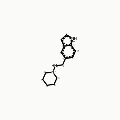 c1cc2cc(CNN3CCCCC3)ccc2[nH]1